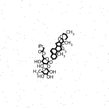 CC(C)CC(=O)OCC1O[C@@H](O[C@H]2CC[C@@]3(C)C(=CCC4C5CC6O[C@]7(CC[C@@H](C)CO7)[C@@H](C)C6[C@@]5(C)CCC43)C2)C(O[C@@H]2OC(C)[C@H](O)C(O)[C@@H]2O)C(O)[C@@H]1O